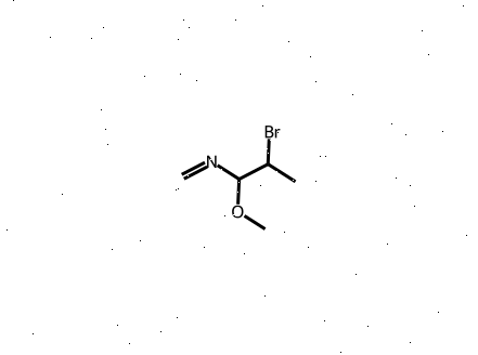 C=NC(OC)C(C)Br